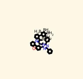 Bc1c(B)c(B)c(-c2cccc3c2c(C)c(/C=C\C)n3-c2cccc3oc4ccc(-c5nc(-c6ccccc6)nc(C6C=CC=CC6)n5)cc4c23)c(B)c1B